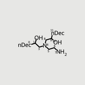 CCCCCCCCCCC(O)CN(CCN)CC(O)CCCCCCCCCC